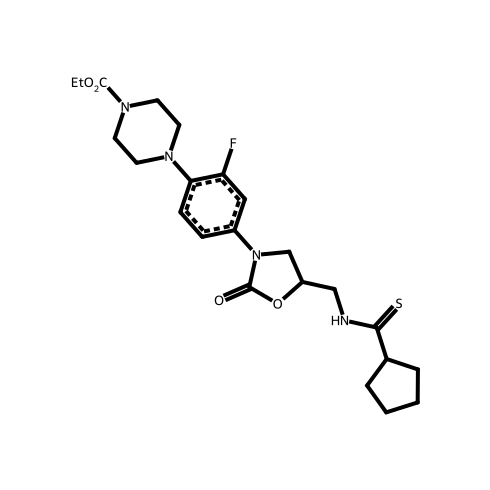 CCOC(=O)N1CCN(c2ccc(N3CC(CNC(=S)C4CCCC4)OC3=O)cc2F)CC1